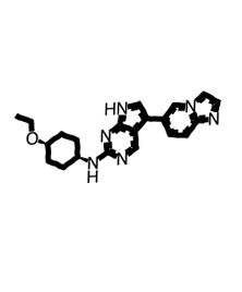 CCO[C@H]1CC[C@@H](Nc2ncc3c(-c4ccc5nccn5c4)c[nH]c3n2)CC1